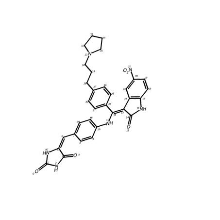 O=C1NC(=O)/C(=C\c2ccc(N/C(=C3\C(=O)Nc4ccc([N+](=O)[O-])cc43)c3ccc(CCCN4CCCC4)cc3)cc2)N1